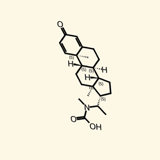 CC([C@H]1CC[C@H]2[C@@H]3CCC4=CC(=O)C=C[C@]4(C)[C@H]3CC[C@]12C)N(C)C(=O)O